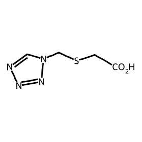 O=C(O)CSCn1cnnn1